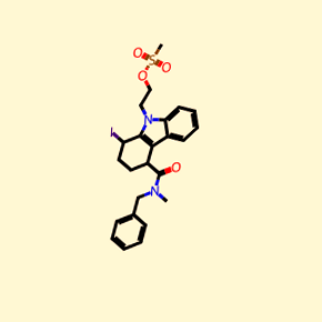 CN(Cc1ccccc1)C(=O)C1CCC(I)c2c1c1ccccc1n2CCOS(C)(=O)=O